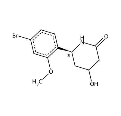 COc1cc(Br)ccc1[C@@H]1CC(O)CC(=O)N1